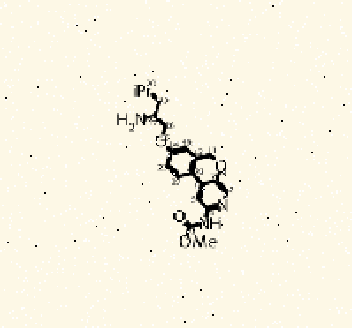 COC(=O)Nc1cc2c(cn1)OCc1cc(OC[C@@H](N)CC(C)C)ccc1-2